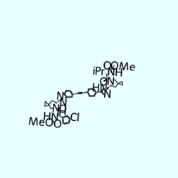 COC(=O)N[C@H](C(=O)N1CC2(CC2)C[C@H]1c1ncc(-c2ccc(C#Cc3ccc4nc([C@@H]5CC6(CC6)CN5C(=O)[C@H](NC(=O)OC)c5cccc(Cl)c5)[nH]c4c3)cc2)[nH]1)C(C)C